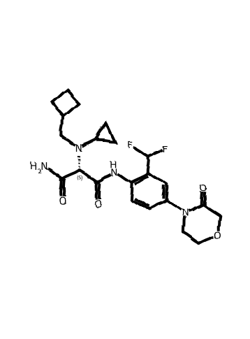 NC(=O)[C@@H](C(=O)Nc1ccc(N2CCOCC2=O)cc1C(F)F)N(CC1CCC1)C1CC1